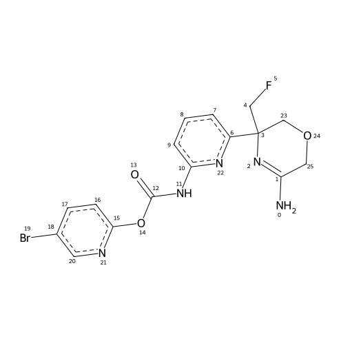 NC1=NC(CF)(c2cccc(NC(=O)Oc3ccc(Br)cn3)n2)COC1